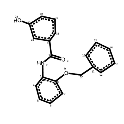 O=C(Nc1ccccc1OCc1ccccc1)c1cccc(O)c1